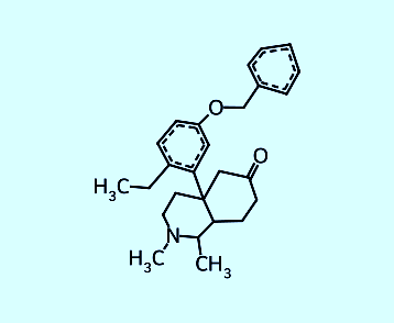 CCc1ccc(OCc2ccccc2)cc1C12CCN(C)C(C)C1CCC(=O)C2